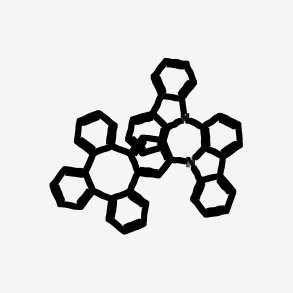 c1ccc2c(c1)-c1ccccc1-c1ccc(-n3c4ccccc4c4cccc(-n5c6ccccc6c6ccccc65)c43)cc1-c1ccccc1-2